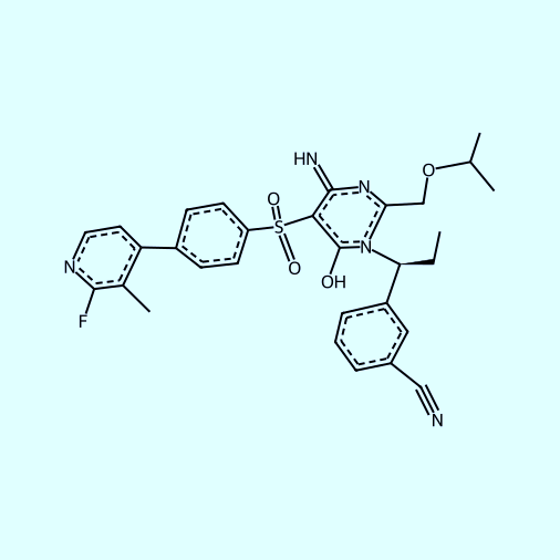 CC[C@@H](c1cccc(C#N)c1)n1c(COC(C)C)nc(=N)c(S(=O)(=O)c2ccc(-c3ccnc(F)c3C)cc2)c1O